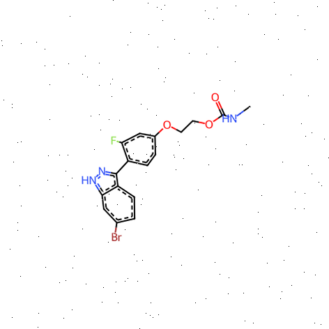 CNC(=O)OCCOc1ccc(-c2n[nH]c3cc(Br)ccc23)c(F)c1